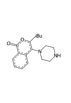 CCC(C)c1oc(=O)c2ccccc2c1N1CCNCC1